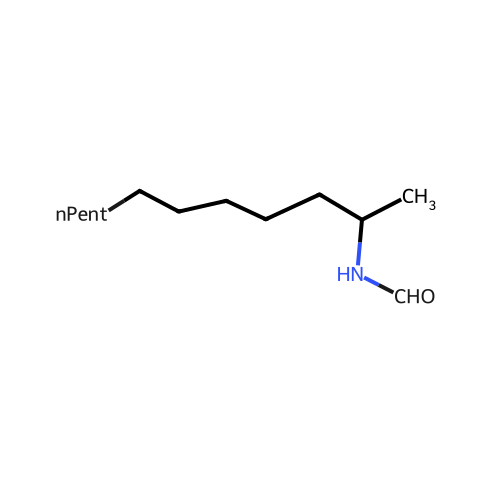 CCCCCCCCCCC(C)NC=O